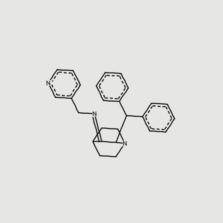 c1ccc(C(c2ccccc2)C2C(=NCc3cccnc3)C3CCN2CC3)cc1